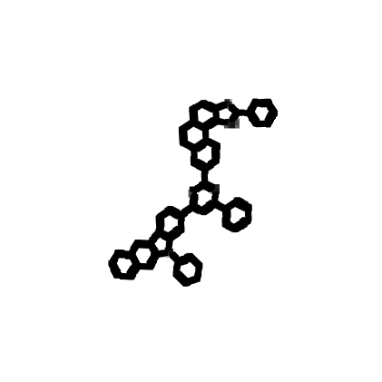 C1=CC(n2c3cc(-c4cc(-c5ccccc5)nc(-c5ccc6c(ccc7ccc8c(c76)NC(c6ccccc6)S8)c5)n4)ccc3c3cc4ccccc4cc32)=CCC1